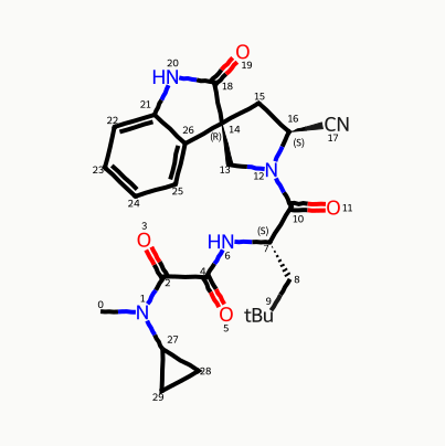 CN(C(=O)C(=O)N[C@@H](CC(C)(C)C)C(=O)N1C[C@]2(C[C@H]1C#N)C(=O)Nc1ccccc12)C1CC1